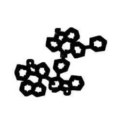 c1ccc(-c2ccc(N(c3ccc(-c4c(-c5ccc6oc7ccccc7c6c5-c5cccc6ccccc56)ccc5oc6ccccc6c45)cc3)c3cccc4sc5ccccc5c34)cc2)cc1